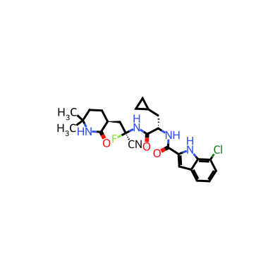 CC1(C)CC[C@@H](C[C@@](F)(C#N)NC(=O)[C@H](CC2CC2)NC(=O)c2cc3cccc(Cl)c3[nH]2)C(=O)N1